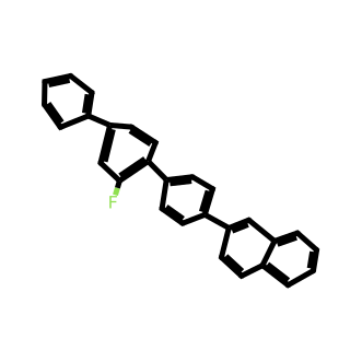 Fc1cc(-c2ccccc2)ccc1-c1ccc(-c2ccc3ccccc3c2)cc1